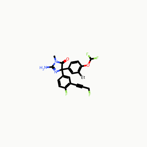 CCc1cc(C2(c3ccc(F)c(C#CCF)c3)N=C(N)N(C)C2=O)ccc1OC(F)F